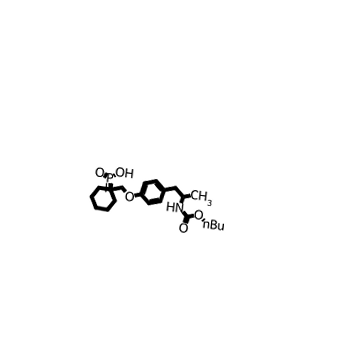 CCCCOC(=O)NC(C)Cc1ccc(OCC2([PH](=O)O)CCCCC2)cc1